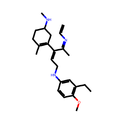 C=C/N=C(C)\C(=C/CNc1ccc(OC)c(CC)c1)C1=C(C)CCC(NC)C1